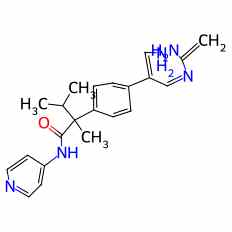 C=C(N)/N=C\C(=C/N)c1ccc(C(C)(C(=O)Nc2ccncc2)C(C)C)cc1